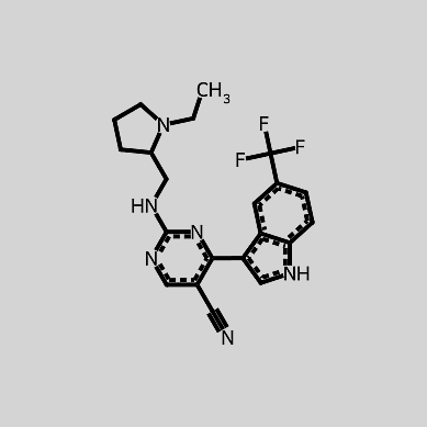 CCN1CCCC1CNc1ncc(C#N)c(-c2c[nH]c3ccc(C(F)(F)F)cc23)n1